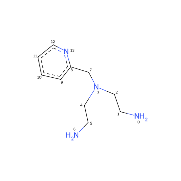 NCCN(CCN)Cc1ccccn1